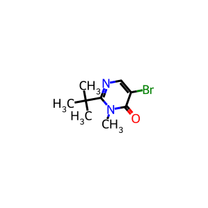 Cn1c(C(C)(C)C)ncc(Br)c1=O